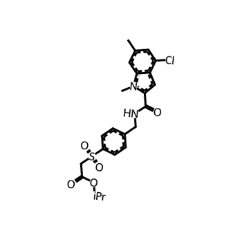 Cc1cc(Cl)c2cc(C(=O)NCc3ccc(S(=O)(=O)CC(=O)OC(C)C)cc3)n(C)c2c1